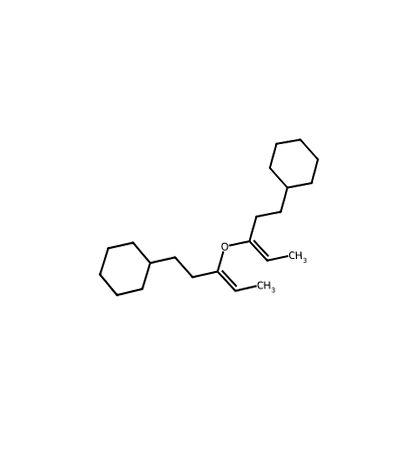 CC=C(CCC1CCCCC1)OC(=CC)CCC1CCCCC1